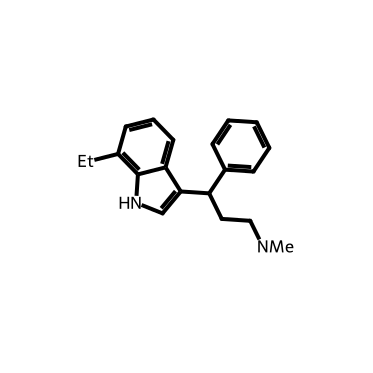 CCc1cccc2c(C(CCNC)c3ccccc3)c[nH]c12